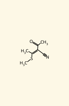 CS/C(C)=C(\C#N)C(C)=O